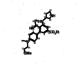 CCOC(=O)c1cc(-c2ccc(N(C)CCOC)cc2)c(C(=N)C(C)C)c(NC2CCNC2)n1